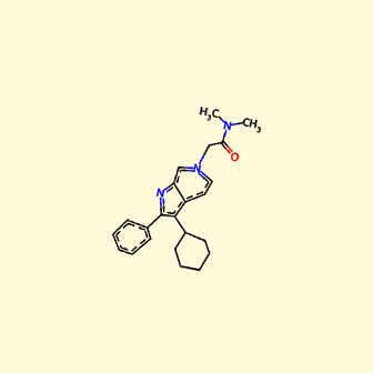 CN(C)C(=O)Cn1ccc2c(C3CCCCC3)c(-c3ccccc3)nc-2c1